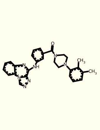 Cc1cccc(N2CCN(C(=O)c3cccc(Nc4nc5ccccc5n5cnnc45)c3)CC2)c1C